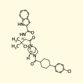 CC(C)(C)[C@H](NC(=O)c1cc2ccccc2[nH]1)C(=O)N1C[C@@H]2CC1CN2C(=O)C1CCC(c2ccc(Cl)cc2)CC1